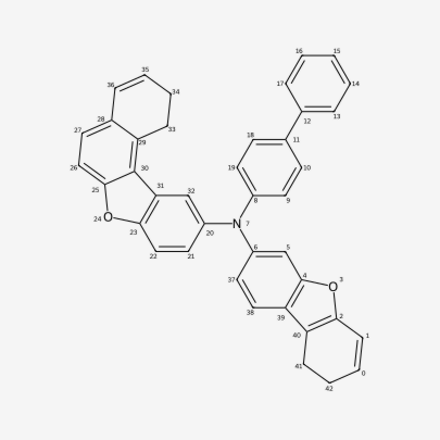 C1=Cc2oc3cc(N(c4ccc(-c5ccccc5)cc4)c4ccc5oc6ccc7c(c6c5c4)CCC=C7)ccc3c2CC1